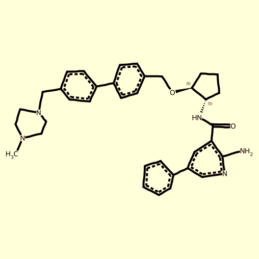 CN1CCN(Cc2ccc(-c3ccc(CO[C@H]4CCC[C@@H]4NC(=O)c4cc(-c5ccccc5)cnc4N)cc3)cc2)CC1